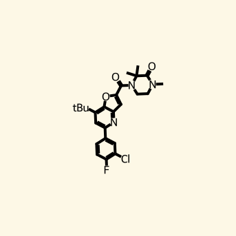 CN1CCN(C(=O)c2cc3nc(-c4ccc(F)c(Cl)c4)cc(C(C)(C)C)c3o2)C(C)(C)C1=O